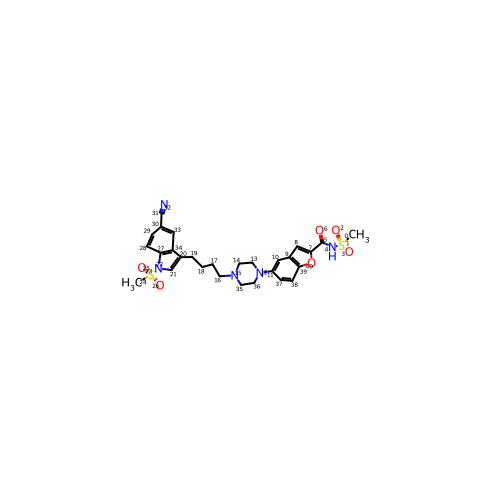 CS(=O)(=O)NC(=O)c1cc2cc(N3CCN(CCCCc4cn(S(C)(=O)=O)c5ccc(C#N)cc45)CC3)ccc2o1